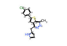 Cc1nnc(Cc2ccc[nH]2)c2cc(-c3ccc(Cl)cc3)sc12